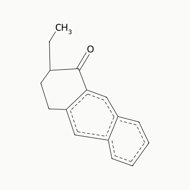 CCC1CCc2cc3ccccc3cc2C1=O